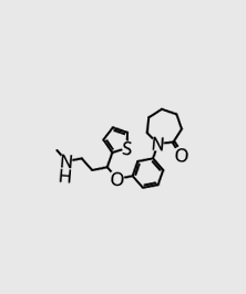 CNCCC(Oc1cccc(N2CCCCCC2=O)c1)c1cccs1